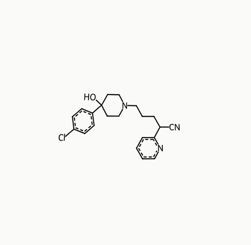 N#CC(CCCN1CCC(O)(c2ccc(Cl)cc2)CC1)c1ccccn1